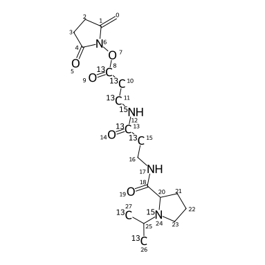 C=C1CCC(=O)N1O[13C](=O)[13CH2][13CH2][15NH][13C](=O)[13CH2]CNC(=O)C1CCC[15N]1C([13CH3])[13CH3]